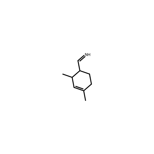 CC1=CC(C)C(C=N)CC1